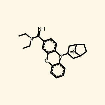 CCN(CC)C(=N)c1ccc2c(c1)Oc1ccccc1N2C1CC2CCC(C1)N2C